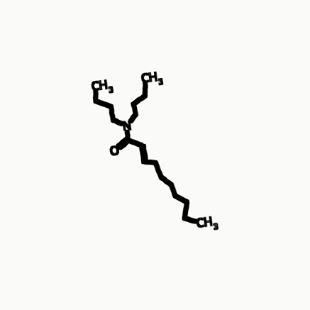 CCCCCCCC=CC(=O)N(CCCC)CCCC